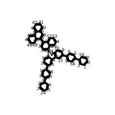 c1ccc(-c2ccc(-c3ccc4c(c3)c3cc(-c5ccc(-c6ccccc6)cc5)ccc3n4-c3ccc(-c4cc5ccccc5c5ccccc45)c4ccccc34)cc2)cc1